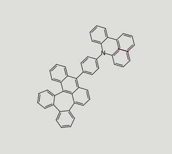 c1ccc(-c2ccccc2N(c2ccccc2)c2ccc(-c3c4ccccc4c4c5c(cccc35)-c3ccccc3-c3ccccc3-4)cc2)cc1